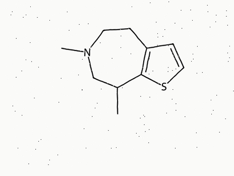 CC1CN(C)CCc2ccsc21